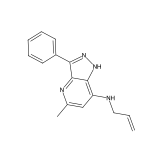 C=CCNc1cc(C)nc2c(-c3ccccc3)n[nH]c12